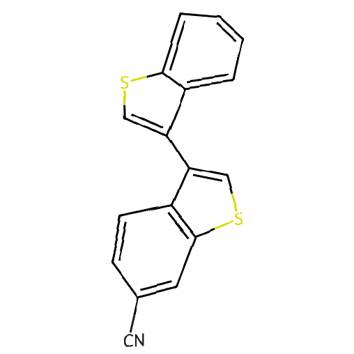 N#Cc1ccc2c(-c3csc4ccccc34)csc2c1